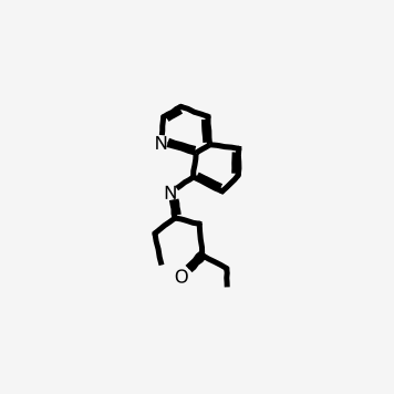 CCC(=O)CC(CC)=Nc1cccc2cccnc12